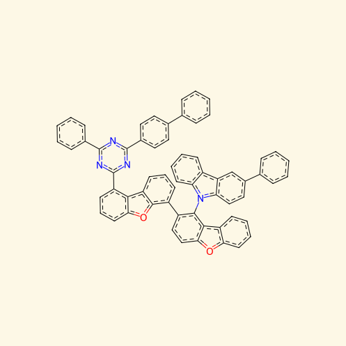 c1ccc(-c2ccc(-c3nc(-c4ccccc4)nc(-c4cccc5oc6c(-c7ccc8oc9ccccc9c8c7-n7c8ccccc8c8cc(-c9ccccc9)ccc87)cccc6c45)n3)cc2)cc1